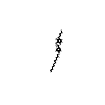 CCCCCCCCCCCCOc1ccc(C(=O)Oc2ccc(CCCCC)c(F)c2F)cc1